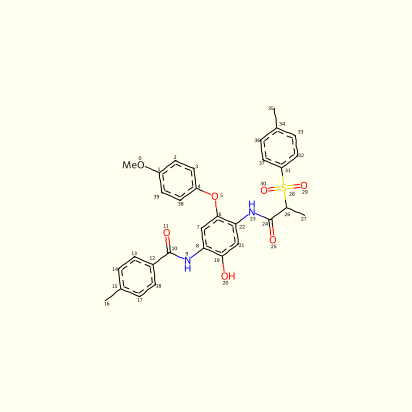 COc1ccc(Oc2cc(NC(=O)c3ccc(C)cc3)c(O)cc2NC(=O)C(C)S(=O)(=O)c2ccc(C)cc2)cc1